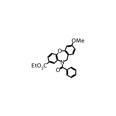 CCOC(=O)c1ccc2c(c1)N(C(=O)c1ccccc1)Cc1ccc(OC)cc1O2